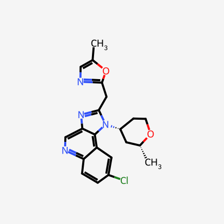 Cc1cnc(Cc2nc3cnc4ccc(Cl)cc4c3n2[C@@H]2CCO[C@H](C)C2)o1